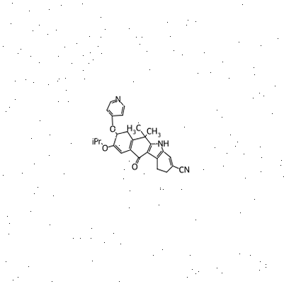 CC(C)OC1=CC2=C(CC1Oc1ccncc1)C(C)(C)c1[nH]c3c(c1C2=O)CCC(C#N)=C3